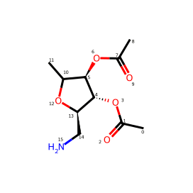 CC(=O)O[C@H]1[C@H](OC(C)=O)C(C)O[C@@H]1CN